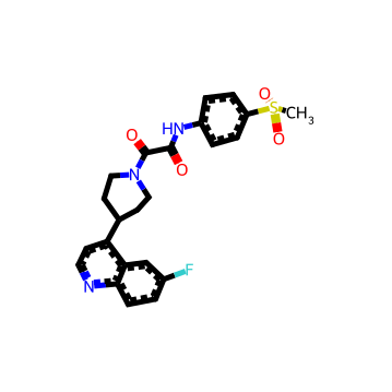 CS(=O)(=O)c1ccc(NC(=O)C(=O)N2CCC(c3ccnc4ccc(F)cc34)CC2)cc1